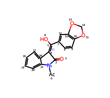 CC(=O)N1C(=O)/C(=C(/O)c2ccc3c(c2)OCO3)c2ccccc21